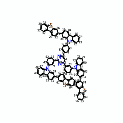 c1cc(-c2cc(-c3ccc(-n4c5ccccc5c5ccc(-c6ccc7c(c6)sc6ccccc67)cc54)cc3)nc(-c3cccc(-n4c5ccccc5c5ccc(-c6ccc7c(c6)sc6ccccc67)cc54)c3)n2)cc(-n2c3ccccc3c3ccc(-c4ccc5c(c4)sc4ccccc45)cc32)c1